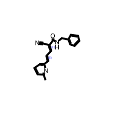 Cc1cccc(/C=C/C=C(\C#N)C(=O)NCc2ccccc2)n1